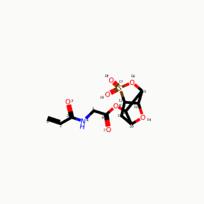 C=CC(=O)NCC(=O)OC1C2CC3C(O2)C1OS3(=O)=O